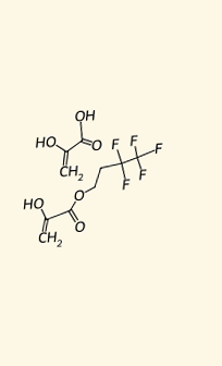 C=C(O)C(=O)O.C=C(O)C(=O)OCCC(F)(F)C(F)(F)F